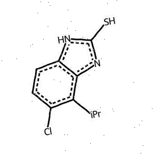 CC(C)c1c(Cl)ccc2[nH]c(S)nc12